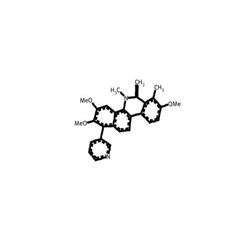 C=C1c2c(ccc(OC)c2C)-c2ccc3c(-c4cccnc4)c(OC)c(OC)cc3c2N1C